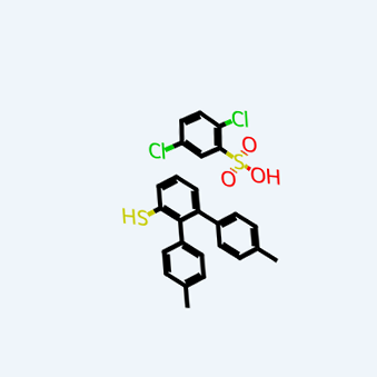 Cc1ccc(-c2cccc(S)c2-c2ccc(C)cc2)cc1.O=S(=O)(O)c1cc(Cl)ccc1Cl